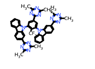 Cc1nc(C)nc(-c2cc(-n3c4ccccc4c4ccc(-c5nc(C)nc(C)n5)cc43)c(C(F)(F)F)c(-n3c4ccccc4c4ccc(-c5nc(C)nc(C)n5)cc43)c2)n1